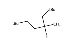 CC(C)(C)CCC(C)(F)CC(C)(C)C